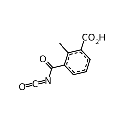 Cc1c(C(=O)O)cccc1C(=O)N=C=O